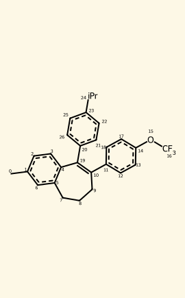 Cc1ccc2c(c1)CCCC(c1ccc(OC(F)(F)F)cc1)=C2c1ccc(C(C)C)cc1